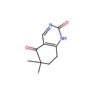 CC1(C)CCc2[nH]c(=O)ncc2C1=O